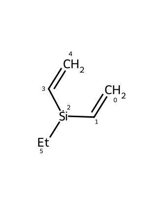 C=C[Si](C=C)CC